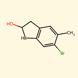 Cc1cc2c(cc1Br)BC(O)C2